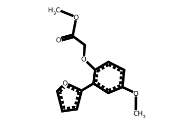 COC(=O)COc1ccc(OC)cc1-c1ccco1